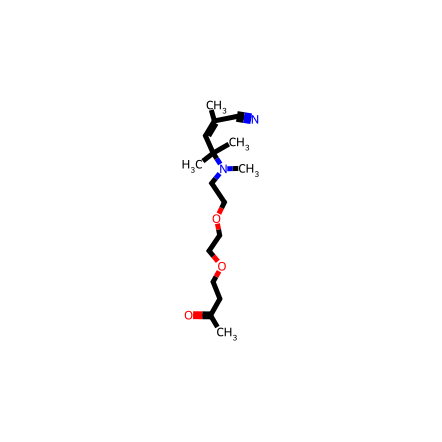 CC(=O)CCOCCOCCN(C)C(C)(C)/C=C(/C)C#N